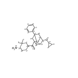 CC1(C)CN(C(=S)C23CC4CC(c5ccccc5)(CC(C2)C4OC2CC2)C3)CC[C@@H]1N